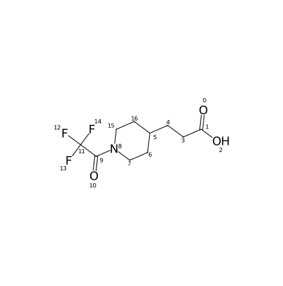 O=C(O)CCC1CCN(C(=O)C(F)(F)F)CC1